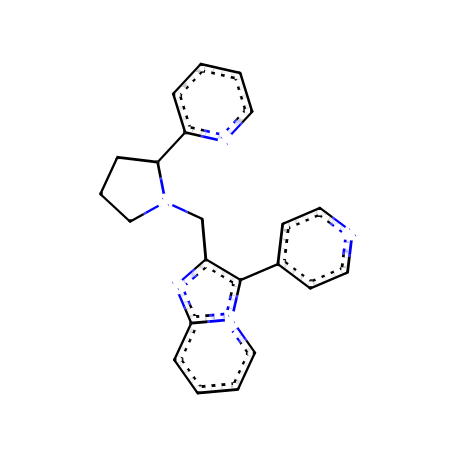 c1ccc(C2CCCN2Cc2nc3ccccn3c2-c2ccncc2)nc1